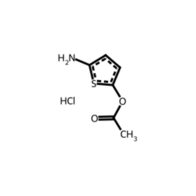 CC(=O)Oc1ccc(N)s1.Cl